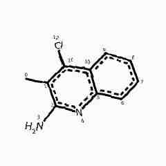 Cc1c(N)nc2ccccc2c1Cl